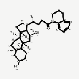 C[C@H](CCC(=O)N1CCCc2ccccc21)[C@H]1CC[C@H]2[C@@H]3CC[C@@H]4C[C@H](O)CC[C@]4(C)[C@H]3C[C@H](O)[C@]12C